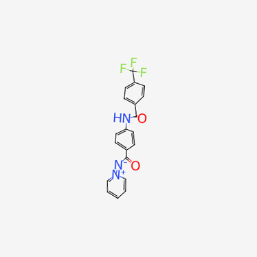 O=C([N-][n+]1ccccc1)c1ccc(NC(=O)c2ccc(C(F)(F)F)cc2)cc1